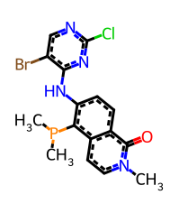 Cn1ccc2c(P(C)C)c(Nc3nc(Cl)ncc3Br)ccc2c1=O